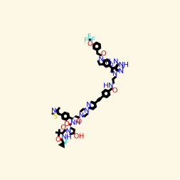 Cc1ncsc1-c1ccc([C@H](CC(=O)N2CCN(c3ccc(C#Cc4ccc(C(=O)NCCCn5cc(-c6ccc7c(c6)CCN7C(=O)Cc6cccc(OC(F)(F)F)c6)c6c5=NCNC=6N)cc4)cn3)CC2)NC(=O)[C@@H]2C[C@@H](O)CN2C(=O)[C@@H](NC(=O)C2(F)CC2)C(C)(C)C)cc1